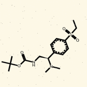 CCS(=O)(=O)c1ccc([C@H](CNC(=O)OC(C)(C)C)N(C)C)cc1